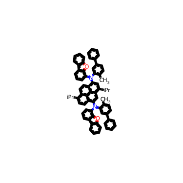 Cc1ccc(-c2ccccc2)cc1N(c1cc2c(C(C)C)cc(N(c3cc(-c4ccccc4)ccc3C)c3cccc4c3oc3ccccc34)c3ccc4c(C(C)C)ccc1c4c23)c1cccc2c1oc1ccccc12